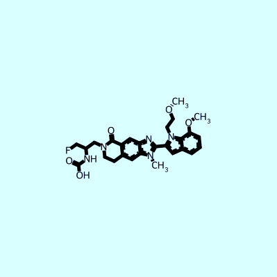 COCCn1c(-c2nc3cc4c(cc3n2C)CCN(CC(CF)NC(=O)O)C4=O)cc2cccc(OC)c21